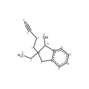 CCC1(CCC#N)Cc2ccccc2C1O